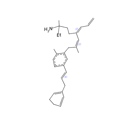 C=C/C=C(\C=C(\C)Cc1cc(/C=C/CC2=CCCC=C2)ccc1C)CCC(C)(N)CC